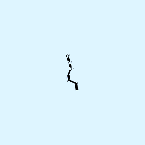 C=C/C=C\N=C=O